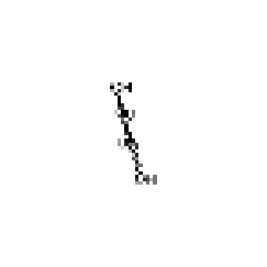 O=C(CCCCC(=O)OCCCCCCO)OCCCCO